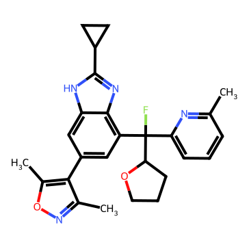 Cc1cccc(C(F)(c2cc(-c3c(C)noc3C)cc3[nH]c(C4CC4)nc23)C2CCCO2)n1